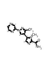 Cn1c(-c2cn(-c3cnccn3)nc2C(F)(F)F)cnc1C(N)=O